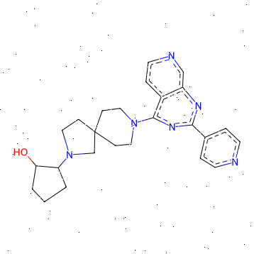 OC1CCCC1N1CCC2(CCN(c3nc(-c4ccncc4)nc4cnccc34)CC2)C1